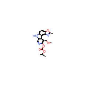 COCc1c(OC(=O)OC(C)C)ncc2[nH]c3ccc4oc(C)nc4c3c12